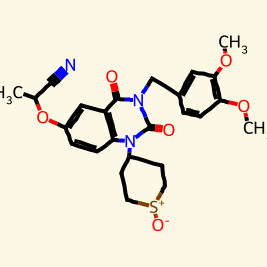 COc1ccc(Cn2c(=O)c3cc(OC(C)C#N)ccc3n(C3CC[S+]([O-])CC3)c2=O)cc1OC